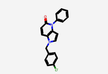 O=c1ccc2c(ccn2Cc2ccc(Cl)cc2)n1-c1ccccc1